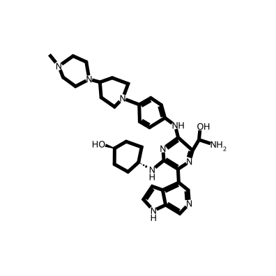 CN1CCN(C2CCN(c3ccc(Nc4nc(N[C@H]5CC[C@H](O)CC5)c(-c5cncc6[nH]ccc56)nc4C(N)O)cc3)CC2)CC1